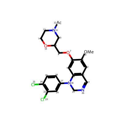 COc1cc2c(cc1OCC1CN(C(C)=O)CCO1)N(c1ccc(Cl)c(Cl)c1)CN=C2